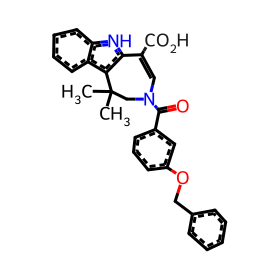 CC1(C)CN(C(=O)c2cccc(OCc3ccccc3)c2)C=C(C(=O)O)c2[nH]c3ccccc3c21